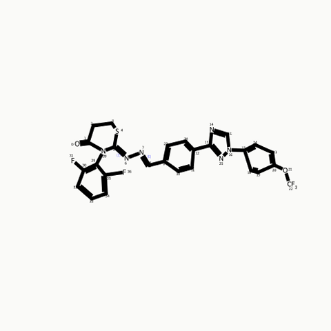 O=C1CCS/C(=N\N=C\c2ccc(-c3ncn(-c4ccc(OC(F)(F)F)cc4)n3)cc2)N1c1c(F)cccc1F